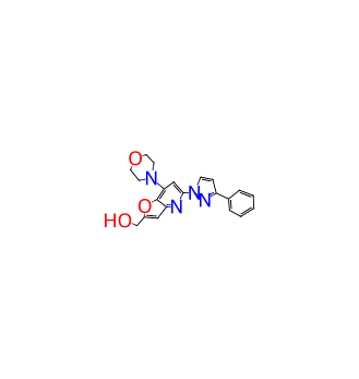 OCc1cc2nc(-n3ccc(-c4ccccc4)n3)cc(N3CCOCC3)c2o1